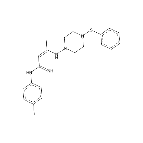 C/C(=C/C(=N)Nc1ccc(C)cc1)NN1CCN(Sc2ccccc2)CC1